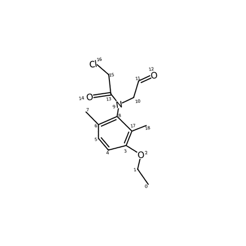 CCOc1ccc(C)c(N(CC=O)C(=O)CCl)c1C